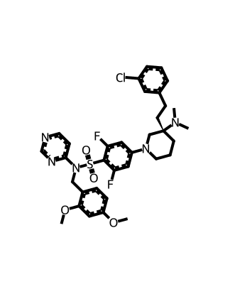 COc1ccc(CN(c2ccncn2)S(=O)(=O)c2c(F)cc(N3CCC[C@@](CCc4cccc(Cl)c4)(N(C)C)C3)cc2F)c(OC)c1